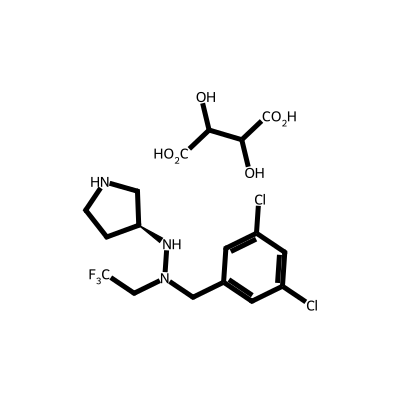 FC(F)(F)CN(Cc1cc(Cl)cc(Cl)c1)N[C@H]1CCNC1.O=C(O)C(O)C(O)C(=O)O